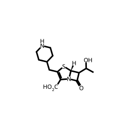 CC(O)C1C(=O)N2C(C(=O)O)=C(CC3CCNCC3)S[C@H]12